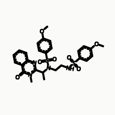 COc1ccc(S(=O)(=O)NCCN(C(C)c2nc3ccccc3c(=O)n2C)S(=O)(=O)c2ccc(OC)cc2)cc1